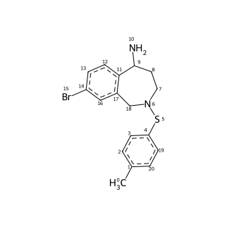 Cc1ccc(SN2CCC(N)c3ccc(Br)cc3C2)cc1